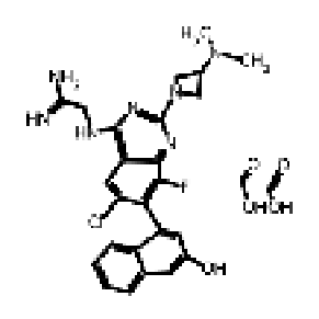 CN(C)C1CN(c2nc(NCC(=N)N)c3cc(Cl)c(-c4cc(O)cc5ccccc45)c(F)c3n2)C1.O=CO.O=CO